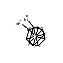 CCC[C]12[CH]3[CH]4[CH]5[CH]1[Ru]45321678[CH]2[CH]1[CH]6[C]7(CC)[CH]28